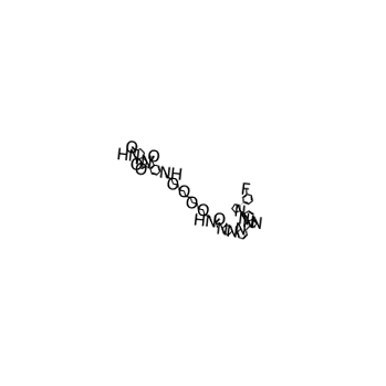 O=C(CN1CCN(c2cccc(-c3cnc4ccc(N5CCC[C@@H]5c5cccc(F)c5)nn34)n2)CC1)NCCOCCOCCOCCOCCNc1ccc2c(c1)C(=O)N(C1CCC(=O)NC1=O)C2=O